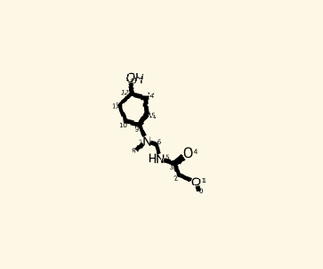 COCC(=O)NCN(C)C1CCC(O)CC1